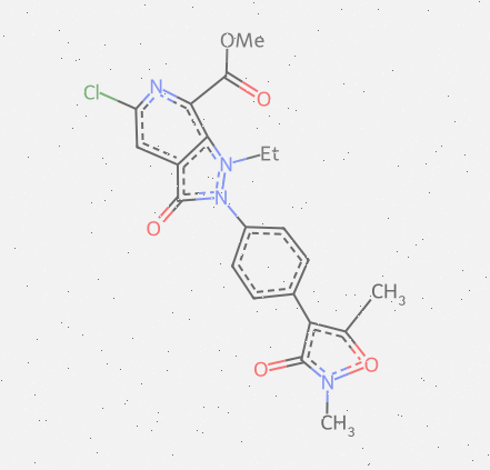 CCn1c2c(C(=O)OC)nc(Cl)cc2c(=O)n1-c1ccc(-c2c(C)on(C)c2=O)cc1